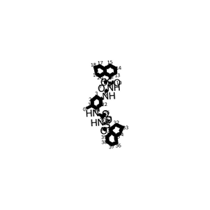 Cc1ccc(NC(=O)NS(=O)(=O)c2cccc3ccccc23)cc1NC(=O)NS(=O)(=O)c1cccc2ccccc12